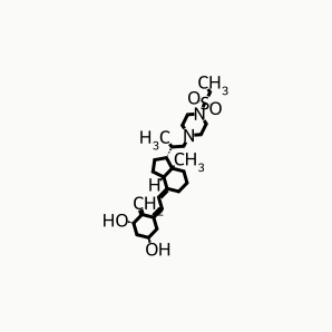 C=C1/C(=C\C=C2/CCC[C@]3(C)[C@@H](C(C)CN4CCN(S(=O)(=O)CC)CC4)CC[C@@H]23)C[C@@H](O)C[C@@H]1O